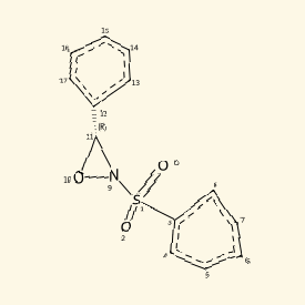 O=S(=O)(c1ccccc1)N1O[C@@H]1c1ccccc1